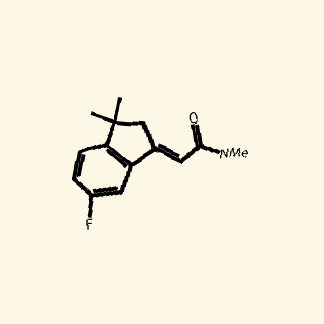 CNC(=O)C=C1CC(C)(C)c2ccc(F)cc21